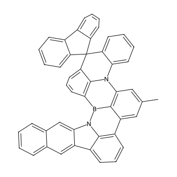 Cc1cc2c3c(c1)N1c4ccccc4C4(c5ccccc5-c5ccccc54)c4cccc(c41)B3n1c3cc4ccccc4cc3c3cccc-2c31